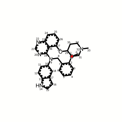 COc1ccccc1CN(c1ccc2[nH]ccc2c1)c1ncnc2cccc(OC3CCN(C)CC3)c12